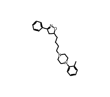 Cc1ccccc1N1CCN(CCCCC2CC(c3ccccc3)=NO2)CC1